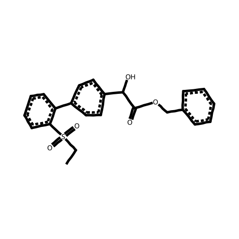 CCS(=O)(=O)c1ccccc1-c1ccc(C(O)C(=O)OCc2ccccc2)cc1